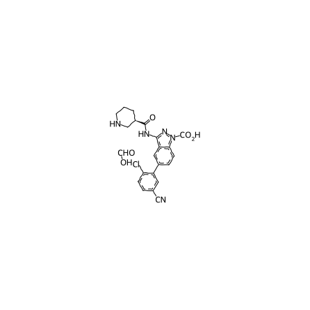 N#Cc1ccc(Cl)c(-c2ccc3c(c2)c(NC(=O)[C@@H]2CCCNC2)nn3C(=O)O)c1.O=CO